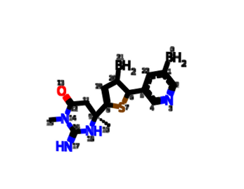 Bc1cncc(C2SC([C@]3(C)CC(=O)N(C)C(=N)N3)=CC2B)c1